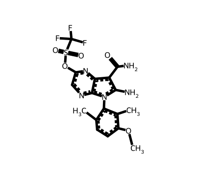 COc1ccc(C)c(-n2c(N)c(C(N)=O)c3nc(OS(=O)(=O)C(F)(F)F)cnc32)c1C